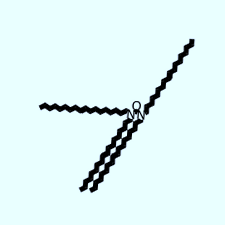 CCCCCCCCC=CCCCCCCCCN(CCCCCCCCC=CCCCCCCCC)C(=O)N(CCCCCCCCC=CCCCCCCCC)CCCCCCCCC=CCCCCCCCC